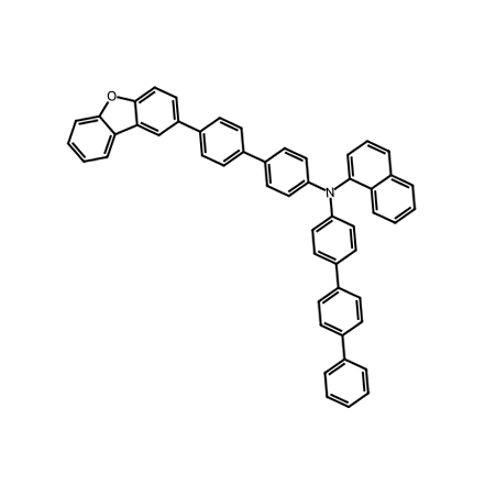 c1ccc(-c2ccc(-c3ccc(N(c4ccc(-c5ccc(-c6ccc7oc8ccccc8c7c6)cc5)cc4)c4cccc5ccccc45)cc3)cc2)cc1